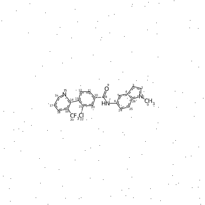 Cn1ccc2cc(NC(=O)c3ccc(-c4ncccc4C(F)(F)F)c(Cl)c3)ccc21